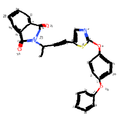 CC(C#Cc1cnc(Oc2ccc(Oc3ccccc3)cc2)s1)N1C(=O)c2ccccc2C1=O